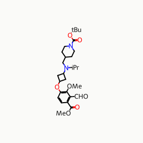 COC(=O)c1ccc(OC2CC(N(CC3CCN(C(=O)OC(C)(C)C)CC3)C(C)C)C2)c(OC)c1C=O